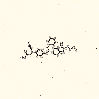 CC#CC(CC(=O)O)c1ccc(OC(Cc2ccccc2)c2ccc3cc(CCOC)[nH]c3c2)cc1